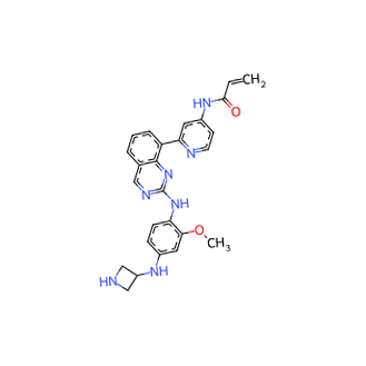 C=CC(=O)Nc1ccnc(-c2cccc3cnc(Nc4ccc(NC5CNC5)cc4OC)nc23)c1